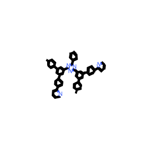 Cc1ccc(-c2cc(-c3ccc(-c4ccccn4)cc3)cc(-c3nc(-c4ccccc4)nc(-c4cc(-c5ccc(C)cc5)cc(-c5ccc(-c6ccccn6)cc5)c4)n3)c2)cc1